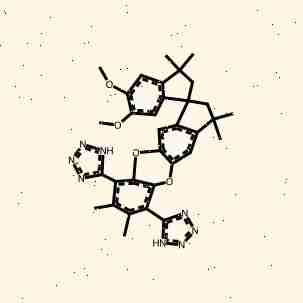 COc1cc2c(cc1OC)C1(CC2(C)C)CC(C)(C)c2cc3c(cc21)Oc1c(c(-c2nnn[nH]2)c(C)c(C)c1-c1nnn[nH]1)O3